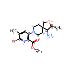 COC(=O)c1nc(Br)c(C)cc1N1CCC2(CC1)CO[C@@H](C)[C@H]2N